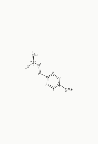 COc1ccc(C=N[S@@+]([O-])C(C)(C)C)cc1